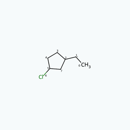 C[CH]C1CCC(Cl)C1